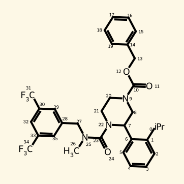 CC(C)c1ccccc1C1CN(C(=O)OCc2ccccc2)CCN1C(=O)N(C)Cc1cc(C(F)(F)F)cc(C(F)(F)F)c1